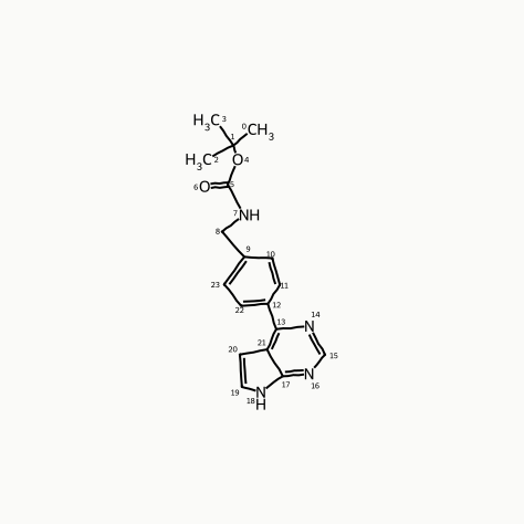 CC(C)(C)OC(=O)NCc1ccc(-c2ncnc3[nH]ccc23)cc1